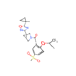 CC(Oc1ccc(S(C)(=O)=O)cc1C(=O)N1CC2CC2(c2noc(C3(C)CC3)n2)C1)C(F)(F)F